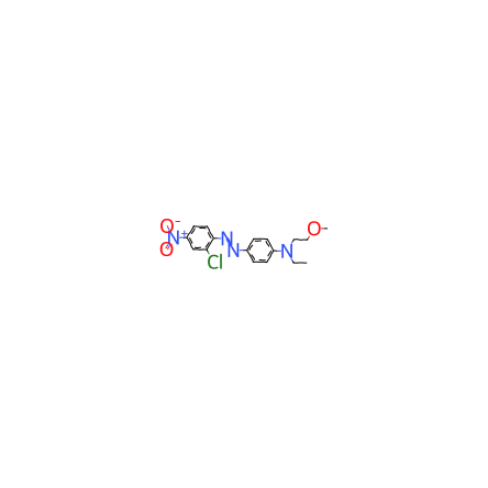 CCN(CCOC)c1ccc(N=Nc2ccc([N+](=O)[O-])cc2Cl)cc1